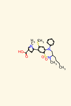 CCCCC1CN(c2ccccc2)c2cc(SC)c(-c3cc(C(=O)O)cn3C)cc2S(=O)(=O)N1C